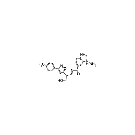 NNc1cc(C(=O)N=CC(CO)c2nc(-c3ccc(C(F)(F)F)cc3)no2)ccc1N